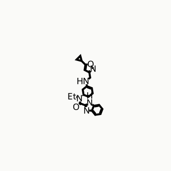 CCN(C(=O)c1nc2ccccc2[nH]1)[C@H]1CCC=C(NCc2cc(C3CC3)on2)C1